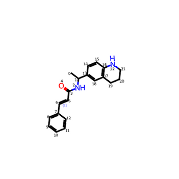 CC(NC(=O)/C=C/c1ccccc1)c1ccc2c(c1)CCCN2